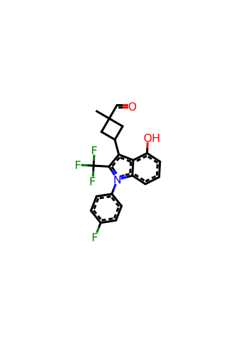 CC1(C=O)CC(c2c(C(F)(F)F)n(-c3ccc(F)cc3)c3cccc(O)c23)C1